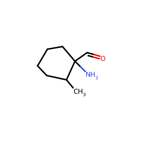 CC1CCCCC1(N)C=O